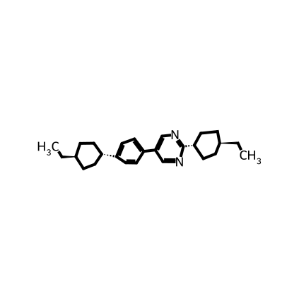 CC[C@H]1CC[C@H](c2ccc(-c3cnc([C@H]4CC[C@H](CC)CC4)nc3)cc2)CC1